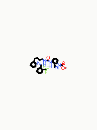 COC(=O)n1ncc2c(NC(=O)NCC3CCc4ccccc4N3Cc3ccccc3C(F)(F)F)cccc21